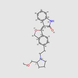 COCC1CCCN1CCc1ccc2c(c1)COC2=C1C(=O)Nc2ccccc21